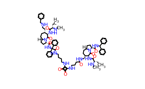 CC[C@H](NC)C(=O)N[C@@H]1C(=O)N2[C@@H](CC[C@@H]1CNC(=O)CCCNc1c(NCCCCNC(=O)C(NC(=O)[C@@H]3CC[C@@H]4CC[C@H](CCNCc5ccccc5)[C@H](NC(=O)[C@H](CC)NC)C(=O)N43)(c3ccccc3)c3ccccc3)c(=O)c1=O)CC[C@H]2C(=O)NC(c1ccccc1)c1ccccc1